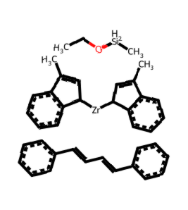 C(C=Cc1ccccc1)=Cc1ccccc1.CC1=C[CH]([Zr][CH]2C=C(C)c3ccccc32)c2ccccc21.CCO[SiH2]C